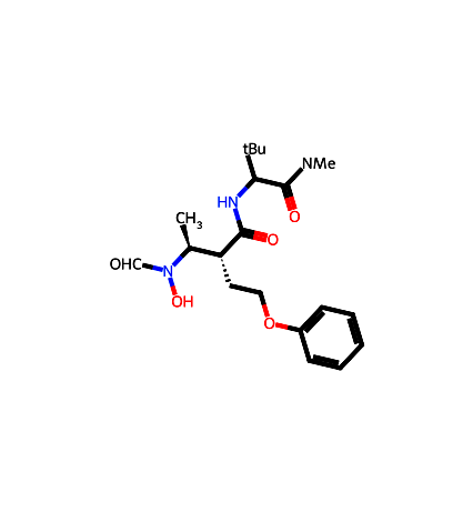 CNC(=O)C(NC(=O)[C@H](CCOc1ccccc1)[C@H](C)N(O)C=O)C(C)(C)C